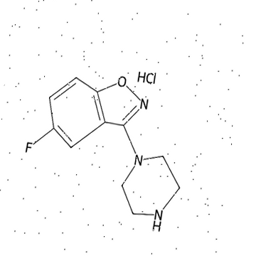 Cl.Fc1ccc2onc(N3CCNCC3)c2c1